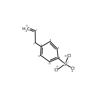 C=CCc1ccc([Si](Cl)(Cl)Cl)cc1